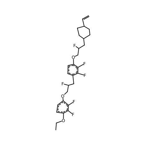 C=CC1CCC(CC(F)COc2ccc(CC(F)COc3ccc(OCC)c(F)c3F)c(F)c2F)CC1